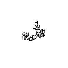 Cc1cc(Nc2nc(N3CCC4(CCC(NC(=O)CC#N)C4)CC3)nn3cccc23)n[nH]1